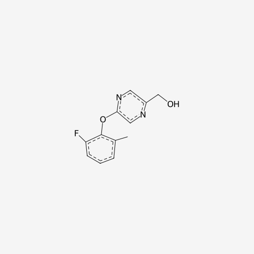 Cc1cccc(F)c1Oc1cnc(CO)cn1